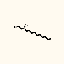 CCCCCCCCCCN(O)CCO